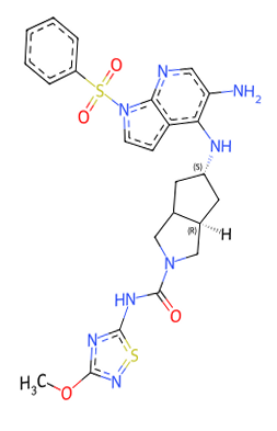 COc1nsc(NC(=O)N2CC3C[C@H](Nc4c(N)cnc5c4ccn5S(=O)(=O)c4ccccc4)C[C@H]3C2)n1